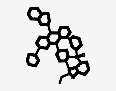 CCc1nc2cccc3c2n1-c1ccc(-c2c4ccccc4c(-c4ccc5ccccc5c4)c4ccc(-c5ccccc5)cc24)cc1P3(=O)c1ccccc1